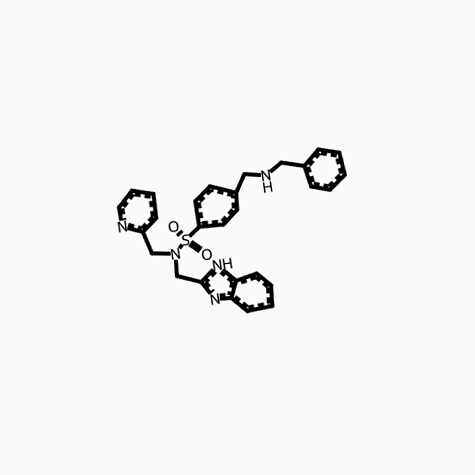 O=S(=O)(c1ccc(CNCc2ccccc2)cc1)N(Cc1ccccn1)Cc1nc2ccccc2[nH]1